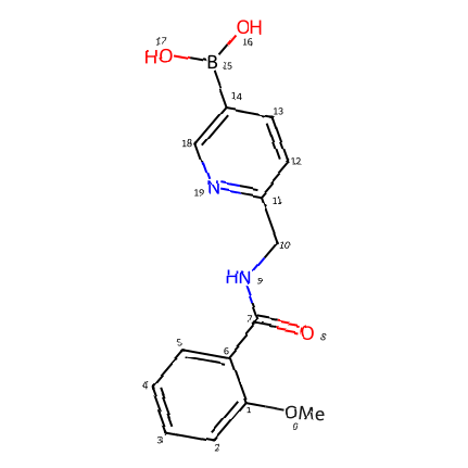 COc1ccccc1C(=O)NCc1ccc(B(O)O)cn1